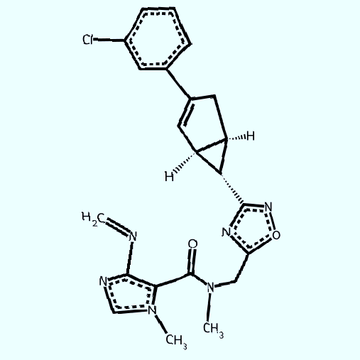 C=Nc1ncn(C)c1C(=O)N(C)Cc1nc([C@@H]2[C@H]3C=C(c4cccc(Cl)c4)C[C@H]32)no1